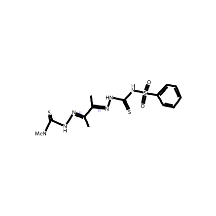 CNC(=S)N/N=C(C)/C(C)=N/NC(=S)NS(=O)(=O)c1ccccc1